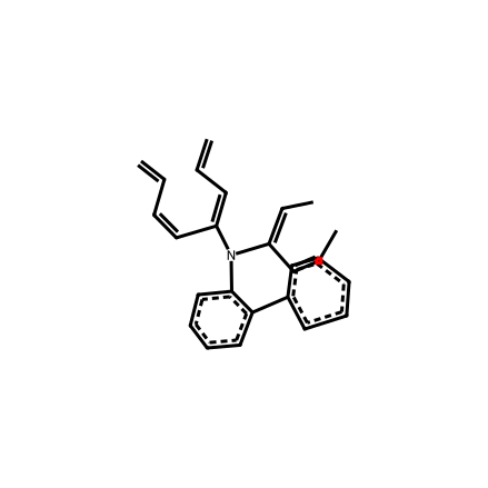 C=C/C=C\C(=C/C=C)N(C(/C=C\C)=C/C)c1ccccc1-c1ccccc1